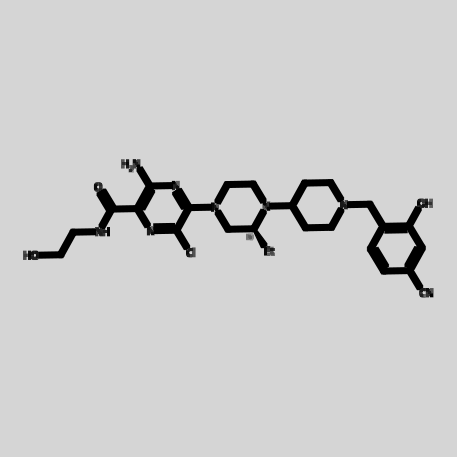 CC[C@H]1CN(c2nc(N)c(C(=O)NCCO)nc2Cl)CCN1C1CCN(Cc2ccc(C#N)cc2O)CC1